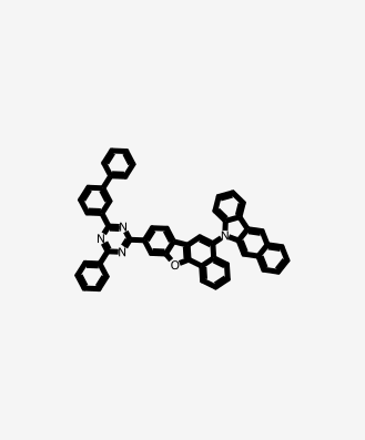 c1ccc(-c2cccc(-c3nc(-c4ccccc4)nc(-c4ccc5c(c4)oc4c6ccccc6c(-n6c7ccccc7c7cc8ccccc8cc76)cc54)n3)c2)cc1